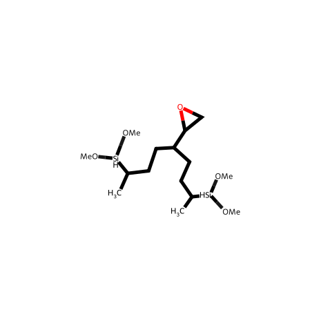 CO[SiH](OC)C(C)CCC(CCC(C)[SiH](OC)OC)C1CO1